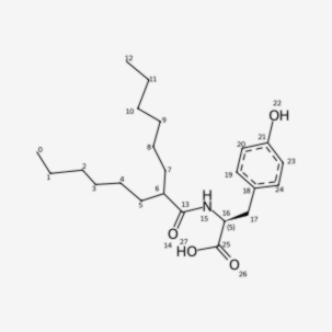 CCCCCCC(CCCCCC)C(=O)N[C@@H](Cc1ccc(O)cc1)C(=O)O